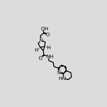 O=C(O)CN1C[C@@H]2C(C(=O)NCCCc3ccc4c(n3)NCCC4)[C@@H]2C1